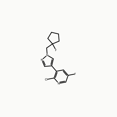 Fc1cnc(Cl)c(-c2cnn(CC3(F)CCCC3)c2)c1